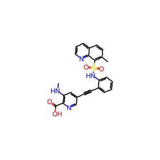 CNc1cc(C#Cc2ccccc2NS(=O)(=O)c2c(C)ccc3cccnc23)cnc1C(=O)O